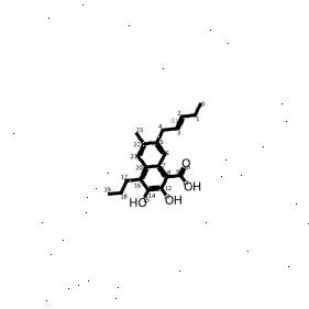 CC/C=C/Cc1cc2c(C(=O)O)c(O)c(O)c(CCC)c2cc1C